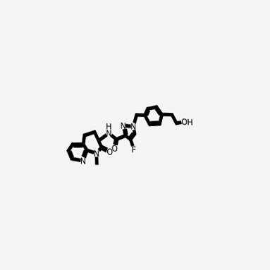 CN1C(=O)C(NC(=O)c2nn(Cc3ccc(CCO)cc3)cc2F)CCc2cccnc21